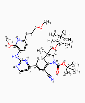 COCCCc1ccc(Nc2nccc(-c3cc(C#N)c4c(c3)[C@@](C)(CO[Si](C)(C)C(C)(C)C)CN4C(=O)OC(C)(C)C)n2)c(OC)n1